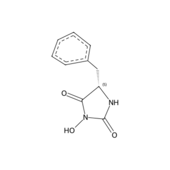 O=C1N[C@@H](Cc2ccccc2)C(=O)N1O